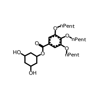 CCCCCOc1cc(C(=O)OC2CC(O)CC(O)C2)cc(OCCCCC)c1OCCCCC